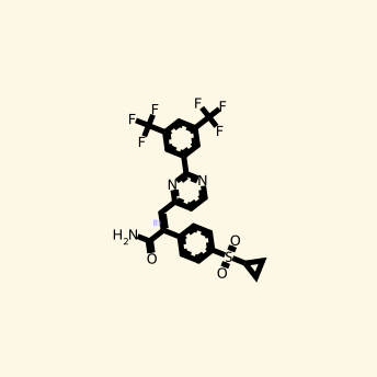 NC(=O)/C(=C/c1ccnc(-c2cc(C(F)(F)F)cc(C(F)(F)F)c2)n1)c1ccc(S(=O)(=O)C2CC2)cc1